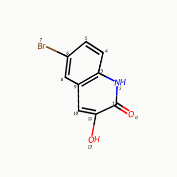 O=c1[nH]c2ccc(Br)cc2cc1O